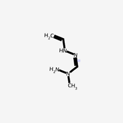 C=CN/N=C\N(C)N